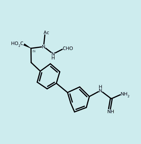 CC(=O)N(NC=O)[C@@H](Cc1ccc(-c2cccc(NC(=N)N)c2)cc1)C(=O)O